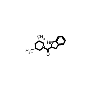 C[C@@H]1C[C@H](C)CN(C(=O)C2Cc3ccccc3N2)C1